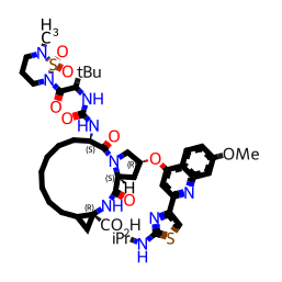 COc1ccc2c(O[C@@H]3C[C@H]4C(=O)N[C@]5(C(=O)O)CC5CCCCCCC[C@H](NC(=O)NC(C(=O)N5CCCN(C)S5(=O)=O)C(C)(C)C)C(=O)N4C3)cc(-c3csc(NC(C)C)n3)nc2c1